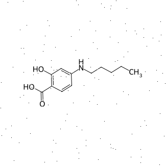 CCCCCNc1ccc(C(=O)O)c(O)c1